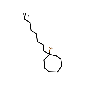 CCCCCCCCC1(S)CCCCCCC1